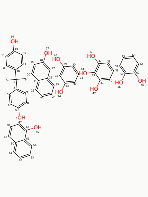 CC(C)(c1ccc(O)cc1)c1ccc(O)cc1.Oc1ccc2ccccc2c1.Oc1cccc(O)c1.Oc1cccc(O)c1O.Oc1cccc2ccccc12.Oc1ccccc1O